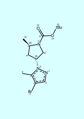 Cc1c(Br)cnn1[C@@H]1C[C@@H](C)N(C(=O)OC(C)(C)C)C1